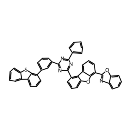 c1ccc(-c2nc(-c3cccc(-c4cccc5c4sc4ccccc45)c3)nc(-c3cccc4oc5c(-c6nc7ccccc7o6)cccc5c34)n2)cc1